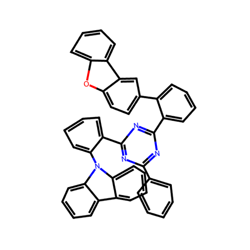 c1ccc(-c2nc(-c3ccccc3-c3ccc4oc5ccccc5c4c3)nc(-c3ccccc3-n3c4ccccc4c4ccccc43)n2)cc1